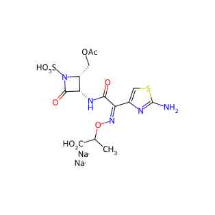 CC(=O)OC[C@@H]1[C@H](NC(=O)C(=NOC(C)C(=O)O)c2csc(N)n2)C(=O)N1S(=O)(=O)O.[Na].[Na]